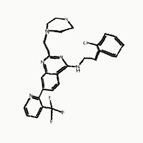 FC(F)(F)c1cccnc1-c1ccc2c(NCCc3ccccc3Cl)nc(CN3CCSCC3)nc2c1